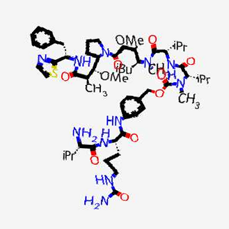 CCC(C)[C@@H]([C@@H](CC(=O)N1CCCC1[C@H](OC)[C@@H](C)C(=O)N[C@@H](Cc1ccccc1)c1nccs1)OC)N(C)C(=O)[C@@H](NC(=O)[C@H](C(C)C)N(C)C(=O)OCc1ccc(NC(=O)[C@H](CCCNC(N)=O)NC(=O)[C@@H](N)C(C)C)cc1)C(C)C